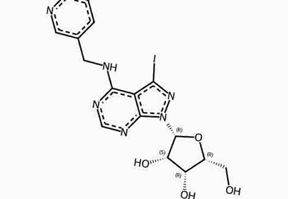 OC[C@H]1O[C@@H](n2nc(I)c3c(NCc4cccnc4)ncnc32)[C@@H](O)[C@H]1O